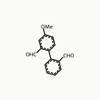 COc1ccc(-c2ccccc2C=O)c(C=O)c1